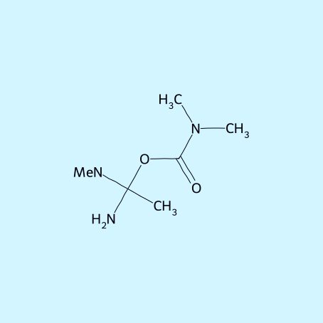 CNC(C)(N)OC(=O)N(C)C